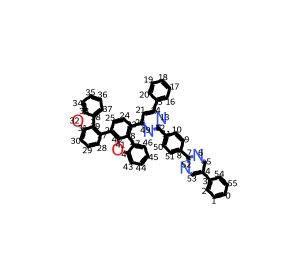 c1ccc(-c2cnc(-c3ccc(-c4nc(-c5ccccc5)cc(-c5ccc(-c6cccc7oc8ccccc8c67)c6oc7ccccc7c56)n4)cc3)nc2)cc1